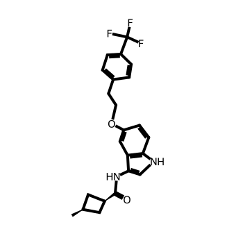 C[C@H]1C[C@@H](C(=O)Nc2c[nH]c3ccc(OCCc4ccc(C(F)(F)F)cc4)cc23)C1